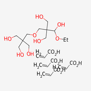 C=CC(=O)O.C=CC(=O)O.C=CC(=O)O.C=CC(=O)O.CCOC(O)C(CO)(CO)COCC(CO)(CO)CO